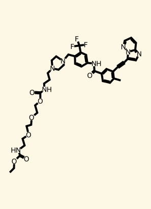 CCOC(=O)NCCOCCOCCOC(=O)NCCCN1CCN(Cc2ccc(NC(=O)c3ccc(C)c(C#Cc4cnc5cccnn45)c3)cc2C(F)(F)F)CC1